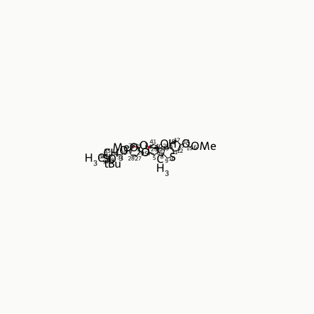 COCOc1ccc(C2(C)CSc3cc(OCOC)ccc3C2(O)C#CCOc2ccc(OCCO[Si](C)(C)C(C)(C)C)cc2)cc1